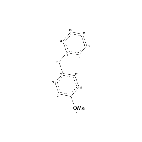 COc1c[c]c(Cc2ccccc2)cc1